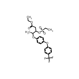 CCOC(=O)CC(OS(=O)(=O)CC)C(C)Oc1ccc(Oc2ccc(C(F)(F)F)cc2)cc1